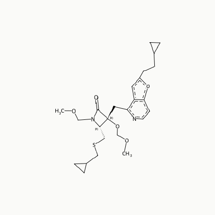 COCO[C@@]1(Cc2nccc3oc(CCC4CC4)cc23)C(=O)N(COC)[C@H]1CSCC1CC1